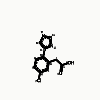 O=C(O)Cc1cc(Cl)ccc1-n1cnnn1